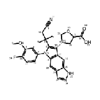 COc1cc(-n2c(C(C)(C)CC#N)c([C@@H]3COC(C(=O)O)C3)c3cc4[nH]ncc4cc32)ccc1F